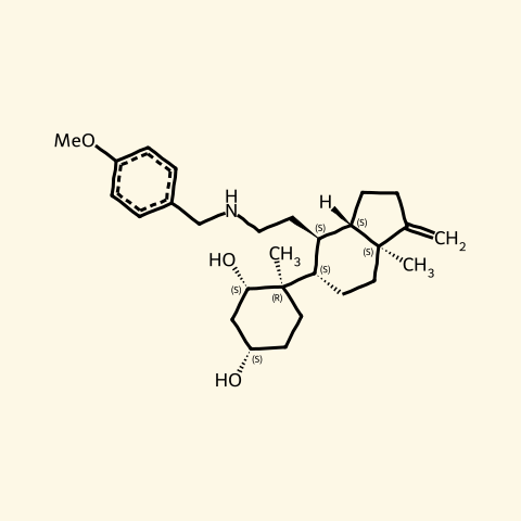 C=C1CC[C@H]2[C@H](CCNCc3ccc(OC)cc3)[C@@H]([C@@]3(C)CC[C@H](O)C[C@@H]3O)CC[C@]12C